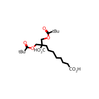 CC(C)(C)C(=O)OCC(CCCCCCCC(=O)O)(COC(=O)C(C)(C)C)C(=O)O